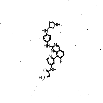 C=CC(=O)Nc1ccnc(-c2c(F)ccc3cnc(Nc4ccc(NC5CCNC5)cc4)nc23)c1